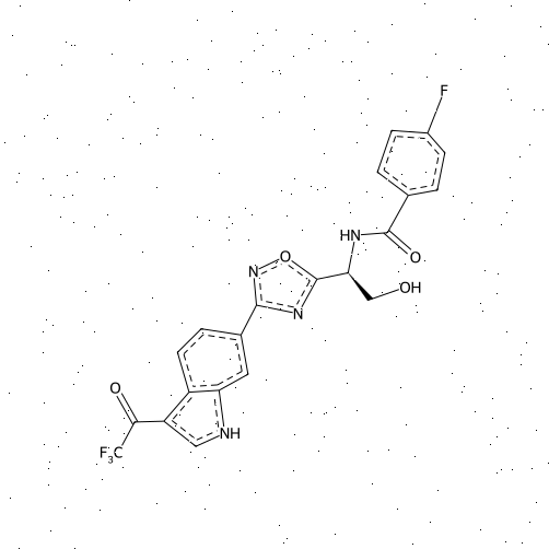 O=C(N[C@@H](CO)c1nc(-c2ccc3c(C(=O)C(F)(F)F)c[nH]c3c2)no1)c1ccc(F)cc1